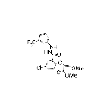 COC=C(Oc1ccc(Cl)cc1C(=O)NNc1cccc(C(F)(F)F)c1)C(=O)OC